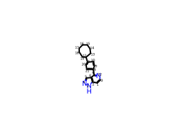 c1cc2[nH]ncc2c(-c2ccc(C3CCCCCCC3)cc2)n1